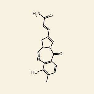 Cc1ccc2c(c1O)N=CC1CC(/C=C/C(N)=O)=CN1C2=O